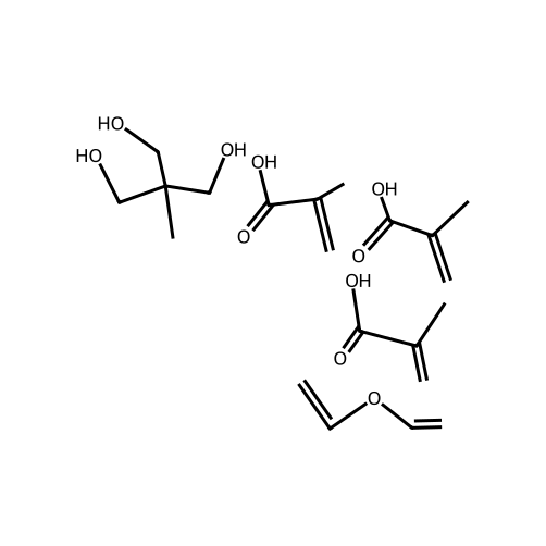 C=C(C)C(=O)O.C=C(C)C(=O)O.C=C(C)C(=O)O.C=COC=C.CC(CO)(CO)CO